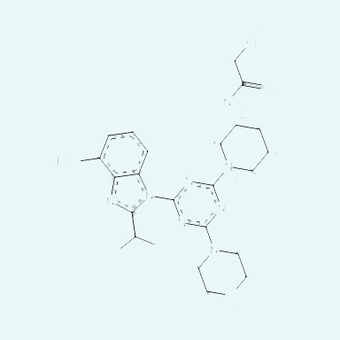 Cc1cccc2c1nc(C(F)F)n2-c1nc(N2CCOCC2)nc(N2CCC[C@@H](NC(=O)CCl)C2)n1